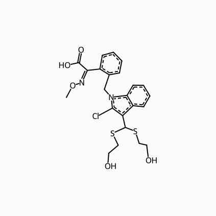 CON=C(C(=O)O)c1ccccc1Cn1c(Cl)c(C(SCCO)SCCO)c2ccccc21